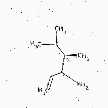 C=CC(N)[C@H](C)C(C)C